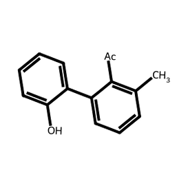 CC(=O)c1c(C)cccc1-c1ccccc1O